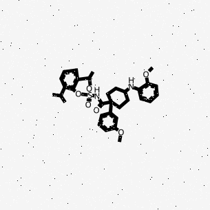 COc1cccc(C2(C(=O)NS(=O)(=O)Oc3c(C(C)C)cccc3C(C)C)CCC(Nc3ccccc3OC)CC2)c1